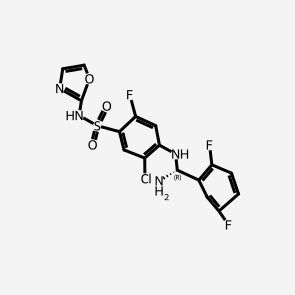 N[C@H](Nc1cc(F)c(S(=O)(=O)Nc2ncco2)cc1Cl)c1cc(F)ccc1F